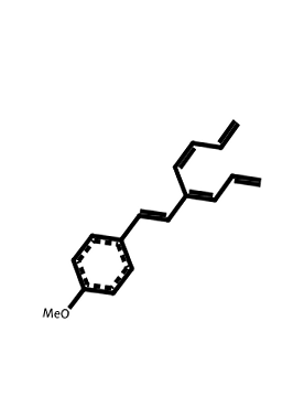 C=C\C=C/C(/C=C/c1ccc(OC)cc1)=C\C=C